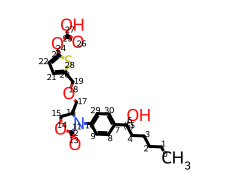 CCCCC[C@H](O)c1ccc(N2C(=O)OCC2COCc2ccc(OC(=O)O)s2)cc1